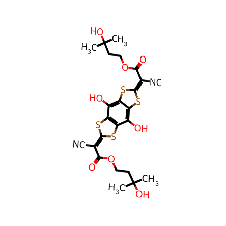 [C-]#[N+]C(C(=O)OCCC(C)(C)O)=C1Sc2c(O)c3c(c(O)c2S1)SC(=C(C#N)C(=O)OCCC(C)(C)O)S3